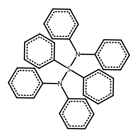 c1ccc(N(c2ccccc2)S(c2ccccc2)(c2ccccc2)N(c2ccccc2)c2ccccc2)cc1